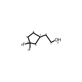 OCCC1CCC(F)(F)C1